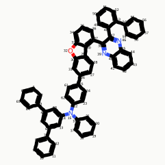 c1ccc(-c2cc(-c3ccccc3)cc(N(c3ccccc3)c3ccc(-c4ccc5c(c4)oc4cccc(-c6nc7ccccc7nc6-c6ccccc6-c6ccccc6)c45)cc3)c2)cc1